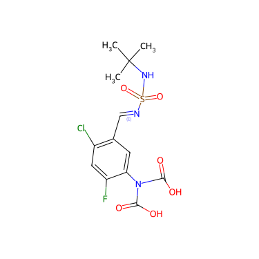 CC(C)(C)NS(=O)(=O)/N=C/c1cc(N(C(=O)O)C(=O)O)c(F)cc1Cl